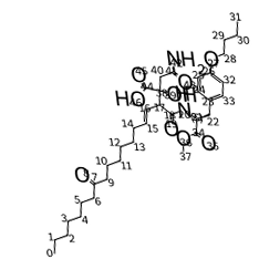 CCCCCCCC(=O)CCCCCCC=CC(C(=O)N[C@@H](Cc1ccc(OCCCC)cc1)C(=O)OC)C(O)(CC(N)=O)C(=O)O